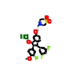 COc1ccc(C2=C(c3cc(F)cc(F)c3)c3ccc(OCCN4CCS(=O)(=O)CC4)cc3C2=O)cc1F.Cl